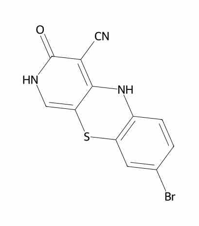 N#Cc1c2c(c[nH]c1=O)Sc1cc(Br)ccc1N2